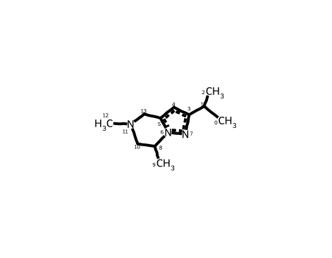 CC(C)c1cc2n(n1)C(C)CN(C)C2